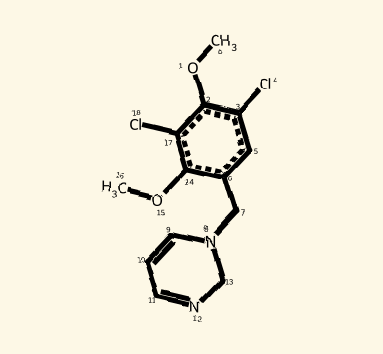 COc1c(Cl)cc(CN2C=CC=NC2)c(OC)c1Cl